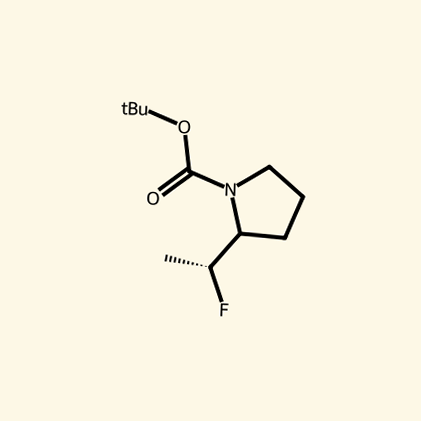 C[C@@H](F)C1CCCN1C(=O)OC(C)(C)C